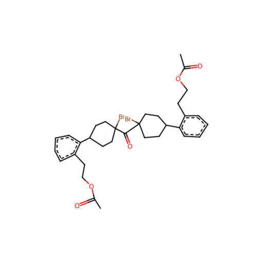 CC(=O)OCCc1ccccc1C1CCC(Br)(C(=O)C2(Br)CCC(c3ccccc3CCOC(C)=O)CC2)CC1